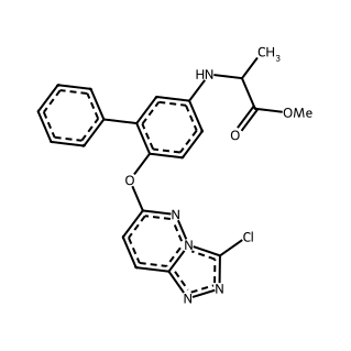 COC(=O)C(C)Nc1ccc(Oc2ccc3nnc(Cl)n3n2)c(-c2ccccc2)c1